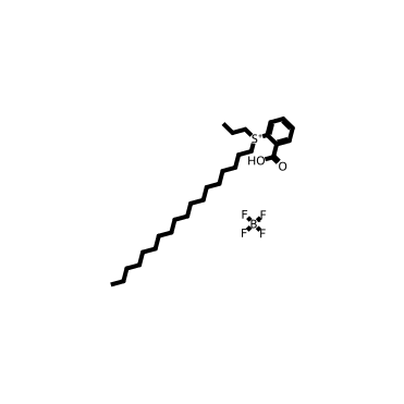 CCCCCCCCCCCCCCCCCC[S+](CCC)c1ccccc1C(=O)O.F[B-](F)(F)F